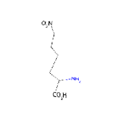 NC(CCCC[N+](=O)[O-])C(=O)O